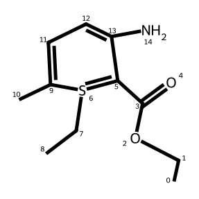 CCOC(=O)C1=S(CC)C(C)=CC=C1N